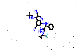 CC(C)(C)CNc1c(C#N)cnc2c(N[C@@H](c3ccccc3)c3cn(C4(C(F)F)CC4)nn3)cc(C#N)cc12